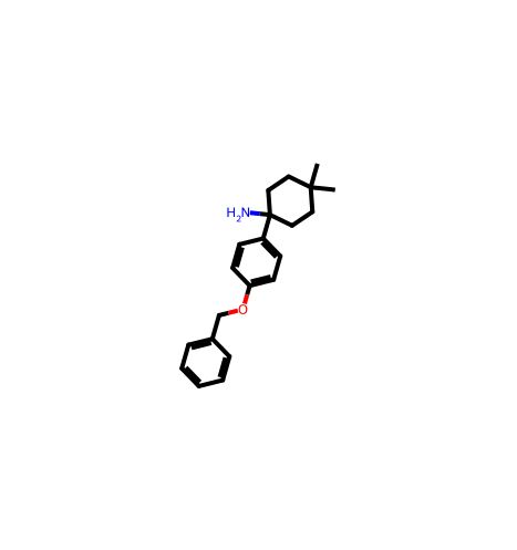 CC1(C)CCC(N)(c2ccc(OCc3ccccc3)cc2)CC1